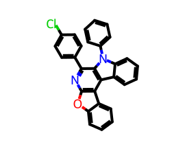 Clc1ccc(-c2nc3oc4ccccc4c3c3c4ccccc4n(-c4ccccc4)c23)cc1